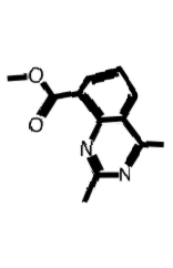 COC(=O)c1cccc2c(C)nc(C)nc12